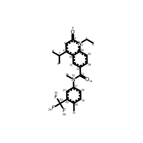 CCn1c(=O)cc(C(C)C)c2cc(C(=O)N(C)c3ccc(C)c(C(F)(F)F)c3)ccc21